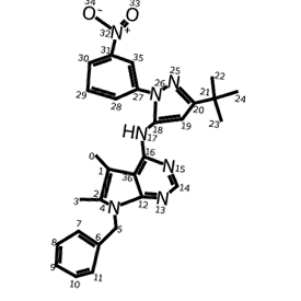 Cc1c(C)n(Cc2ccccc2)c2ncnc(Nc3cc(C(C)(C)C)nn3-c3cccc([N+](=O)[O-])c3)c12